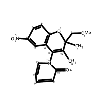 COCC1(C)Oc2ccc([N+](=O)[O-])cc2C(n2ccccc2=O)=C1C